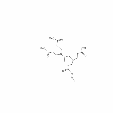 COC(=O)CCN(CCC(=O)OOI)CC(C)N(CCC(=O)OC)CCC(=O)OC